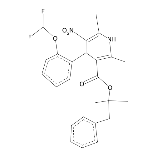 CC1=C(C(=O)OC(C)(C)Cc2ccccc2)C(c2ccccc2OC(F)F)C([N+](=O)[O-])=C(C)N1